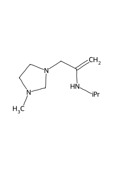 C=C(CN1CCN(C)C1)NC(C)C